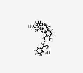 CC(C)(C)[S+]([O-])/N=C/c1c(C(F)(F)F)ccc(Cl)c1CCOC(=O)c1ccccc1S